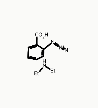 CCNCC.[N-]=[N+]=Nc1ccccc1C(=O)O